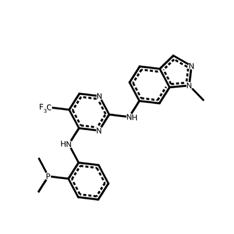 Cn1ncc2ccc(Nc3ncc(C(F)(F)F)c(Nc4ccccc4P(C)C)n3)cc21